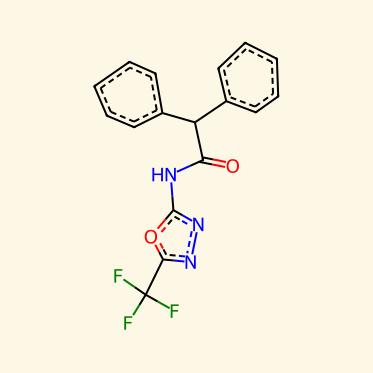 O=C(Nc1nnc(C(F)(F)F)o1)C(c1ccccc1)c1ccccc1